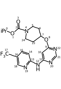 CC(C)OC(=O)N1CCC(Oc2cc(Nc3ccc(C(F)(F)F)cn3)ncn2)CC1